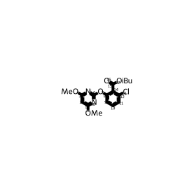 COc1cc(OC)nc(Oc2cccc(Cl)c2C(=O)OCC(C)C)n1